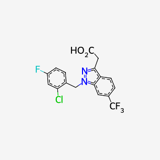 O=C(O)Cc1nn(Cc2ccc(F)cc2Cl)c2cc(C(F)(F)F)ccc12